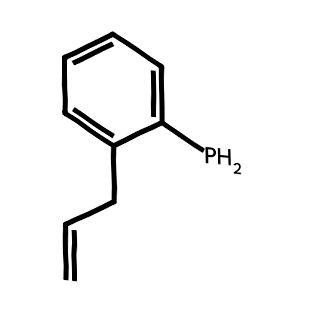 C=CCc1ccccc1P